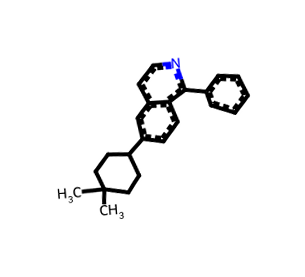 CC1(C)CCC(c2ccc3c(-c4ccccc4)nccc3c2)CC1